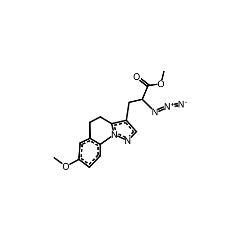 COC(=O)C(Cc1cnn2c1CCc1cc(OC)ccc1-2)N=[N+]=[N-]